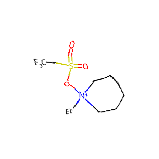 CC[N+]1(OS(=O)(=O)C(F)(F)F)CCCCC1